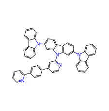 c1ccc(-c2ccc(-c3ccnc(-n4c5cc(-n6c7ccccc7c7ccccc76)ccc5c5ccc(-n6c7ccccc7c7ccccc76)cc54)c3)cc2)nc1